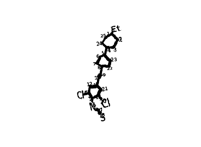 CCC1CCC(c2ccc(C#Cc3cc(Cl)c(N=C=S)c(Cl)c3)cc2)CC1